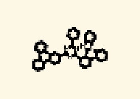 c1ccc(-c2nc(-c3ccc4c5ccccc5c5ccccc5c4c3)nc(-c3cccc4c5ccccc5n5c6ccccc6nc5c34)n2)cc1